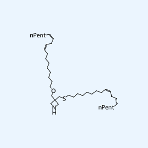 CCCCC/C=C\C/C=C\CCCCCCCCOCC1(CSCCCCCCCC/C=C\C/C=C\CCCCC)CNC1